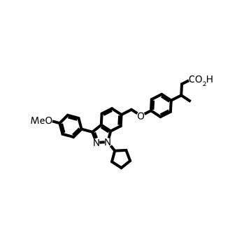 COc1ccc(-c2nn(C3CCCC3)c3cc(COc4ccc(C(C)CC(=O)O)cc4)ccc23)cc1